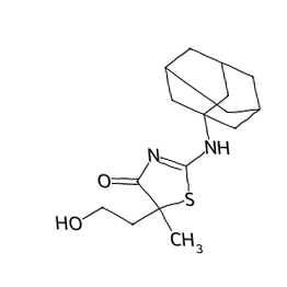 CC1(CCO)SC(NC23CC4CC(CC(C4)C2)C3)=NC1=O